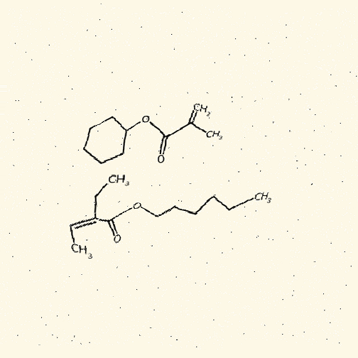 C=C(C)C(=O)OC1CCCCC1.CC=C(CC)C(=O)OCCCCCC